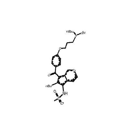 CCCCc1c(NS(C)(=O)=O)c2ccocc-2c1C(=O)c1ccc(OCCCN(CCCC)CCCC)cc1